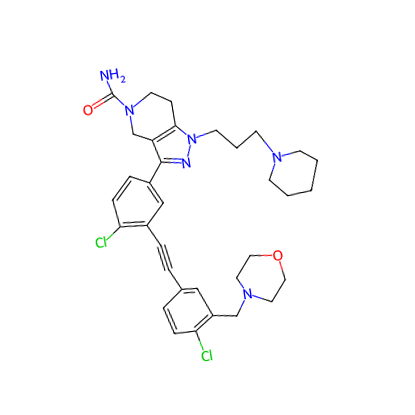 NC(=O)N1CCc2c(c(-c3ccc(Cl)c(C#Cc4ccc(Cl)c(CN5CCOCC5)c4)c3)nn2CCCN2CCCCC2)C1